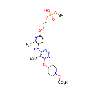 COc1c(Nc2ccc(OCCCOP(=O)(O)OC(C)C)nc2C)ncnc1OC1CCN(OC(=O)O)CC1